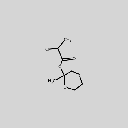 CC(Cl)C(=O)OC1(C)CSCCO1